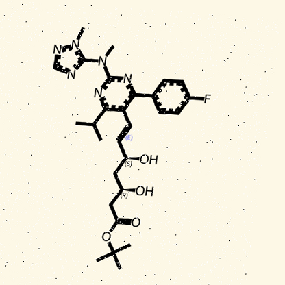 CC(C)c1nc(N(C)c2ncnn2C)nc(-c2ccc(F)cc2)c1/C=C/[C@@H](O)C[C@@H](O)CC(=O)OC(C)(C)C